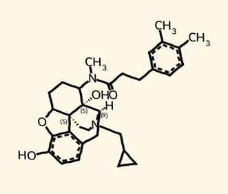 Cc1ccc(CCC(=O)N(C)C2CCC3Oc4c(O)ccc5c4[C@@]34CCN(CC3CC3)[C@H](C5)[C@]24O)cc1C